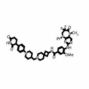 COc1cc(C(=O)NC2CC3(CCN(CC4CCN(c5ccc(C6CCC(=O)NC6=O)cc5)CC4)CC3)C2)ccc1Nc1ncc2c(n1)N(C(C)C)CC(F)(F)C(=O)N2C